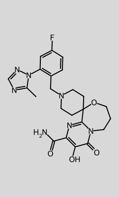 Cc1ncnn1-c1cc(F)ccc1CN1CCC2(CC1)OCCCn1c2nc(C(N)=O)c(O)c1=O